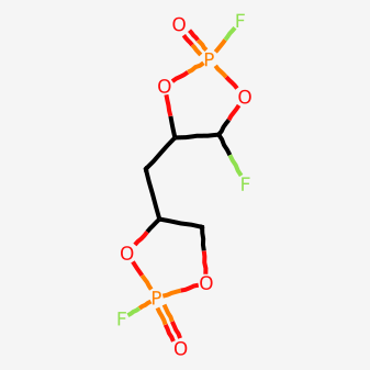 O=P1(F)OCC(CC2OP(=O)(F)OC2F)O1